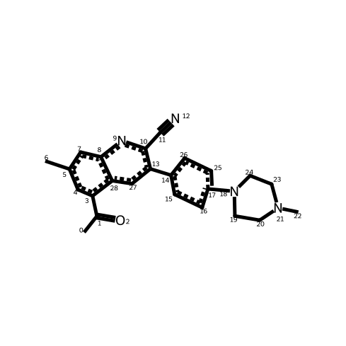 CC(=O)c1cc(C)cc2nc(C#N)c(-c3ccc(N4CCN(C)CC4)cc3)cc12